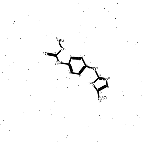 CC(C)(C)OC(=O)Nc1ccc(Oc2ncc(C=O)s2)cc1